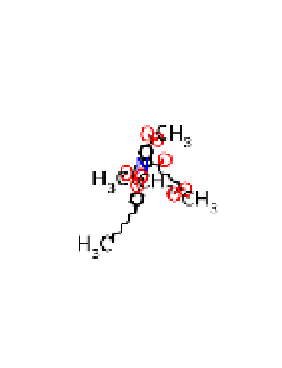 CCCCCCCCc1ccc(OCC(Cn2cc(C(=O)CCCCC(=O)OC)c3cc(C(=O)OC)ccc32)(OC)OC)cc1